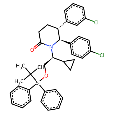 CC(C)(C)[Si](OC[C@H](C1CC1)N1C(=O)CC[C@H](c2cccc(Cl)c2)[C@H]1c1ccc(Cl)cc1)(c1ccccc1)c1ccccc1